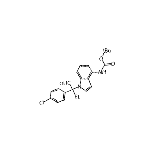 CCC(C=O)(c1ccc(Cl)cc1)n1ccc2c(NC(=O)OC(C)(C)C)cccc21